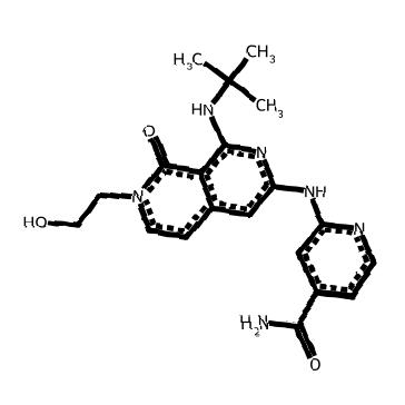 CC(C)(C)Nc1nc(Nc2cc(C(N)=O)ccn2)cc2ccn(CCO)c(=O)c12